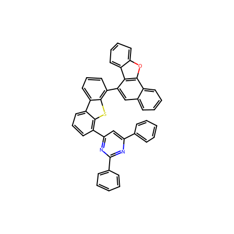 c1ccc(-c2cc(-c3cccc4c3sc3c(-c5cc6ccccc6c6oc7ccccc7c56)cccc34)nc(-c3ccccc3)n2)cc1